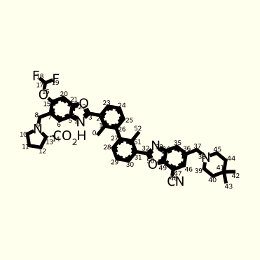 Cc1c(-c2nc3cc(CN4CCC[C@H]4C(=O)O)c(OC(F)F)cc3o2)cccc1-c1cccc(-c2nc3cc(CN4CCC(C)(C)CC4)cc(C#N)c3o2)c1C